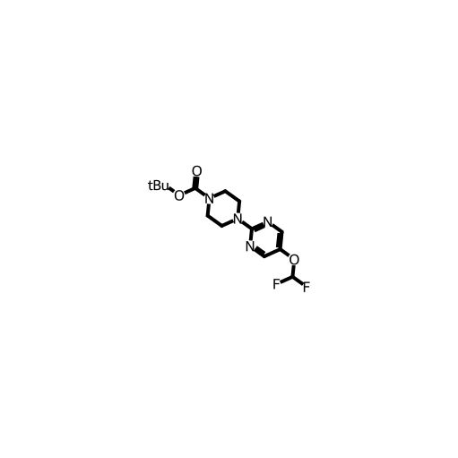 CC(C)(C)OC(=O)N1CCN(c2ncc(OC(F)F)cn2)CC1